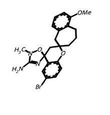 COc1cccc2c1CCCC1(C2)CC2(N=C(N)N(C)O2)c2cc(Br)ccc2O1